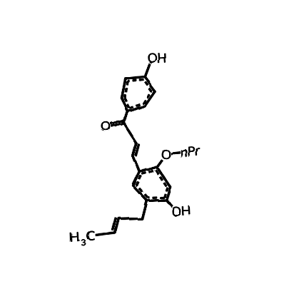 CC=CCc1cc(C=CC(=O)c2ccc(O)cc2)c(OCCC)cc1O